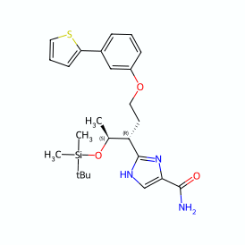 C[C@H](O[Si](C)(C)C(C)(C)C)[C@H](CCOc1cccc(-c2cccs2)c1)c1nc(C(N)=O)c[nH]1